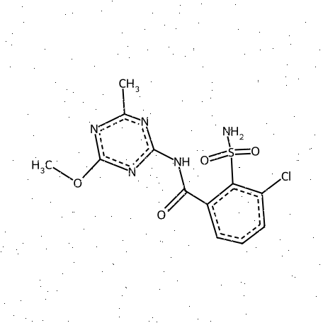 COc1nc(C)nc(NC(=O)c2cccc(Cl)c2S(N)(=O)=O)n1